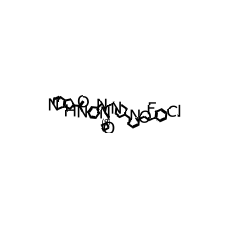 O=C(Nc1ccc2c(c1)nc(CN1CCC(c3cccc(OCc4ccc(Cl)cc4F)n3)CC1)n2C[C@@H]1CCO1)C1Cc2ccncc2C1